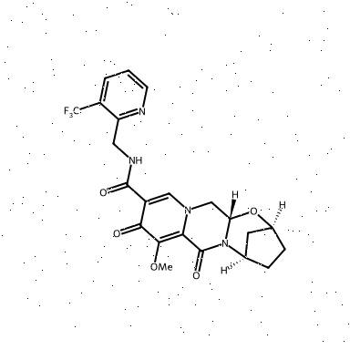 COc1c2n(cc(C(=O)NCc3ncccc3C(F)(F)F)c1=O)C[C@@H]1O[C@H]3CC[C@H](C3)N1C2=O